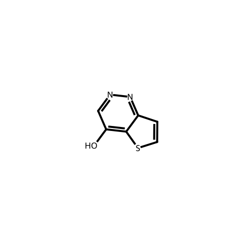 Oc1cnnc2ccsc12